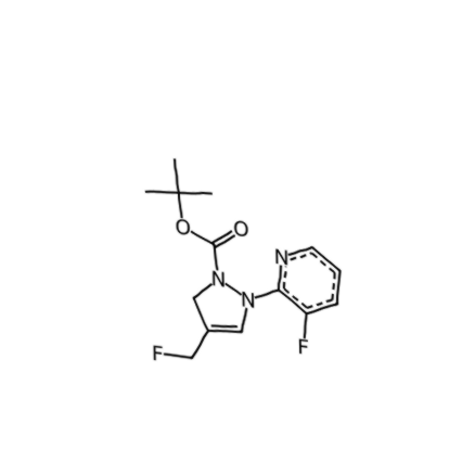 CC(C)(C)OC(=O)N1CC(CF)=CN1c1ncccc1F